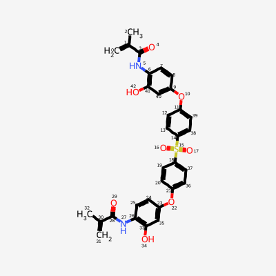 C=C(C)C(=O)Nc1ccc(Oc2ccc(S(=O)(=O)c3ccc(Oc4ccc(NC(=O)C(=C)C)c(O)c4)cc3)cc2)cc1O